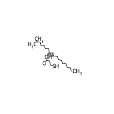 CCCCCCCCCCCC(S)CCCCCC(C)C.O=C(O)CCS